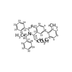 Cc1cccc(C)c1-c1ccc(F)c(C(CC(=O)O)N(Cc2ccccc2)[C@H](C)c2ccccc2)c1